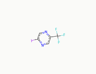 FC(F)(F)c1cnc(I)cn1